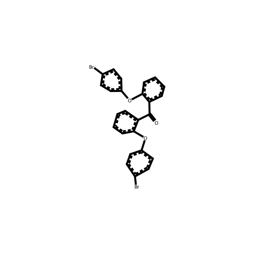 O=C(c1ccccc1Oc1ccc(Br)cc1)c1ccccc1Oc1ccc(Br)cc1